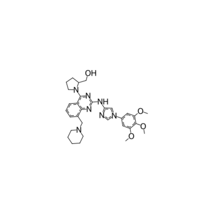 COc1cc(-n2cnc(Nc3nc(N4CCCC4CO)c4cccc(CN5CCCCC5)c4n3)c2)cc(OC)c1OC